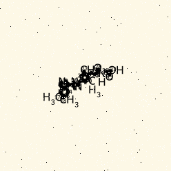 Cc1cc(C2=NCC(c3cncc4c3CCC(C)(C)C4)=N2)cc(C)c1CCC(=O)NCC(=O)O